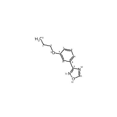 CCCOc1cccc(-c2ncon2)c1